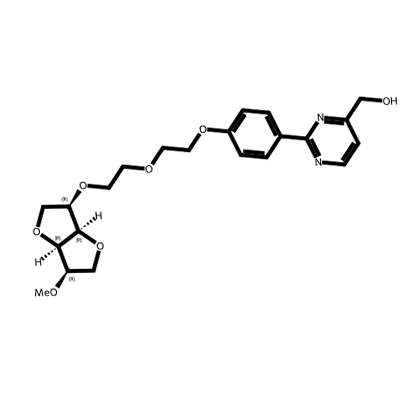 CO[C@@H]1CO[C@H]2[C@@H]1OC[C@H]2OCCOCCOc1ccc(-c2nccc(CO)n2)cc1